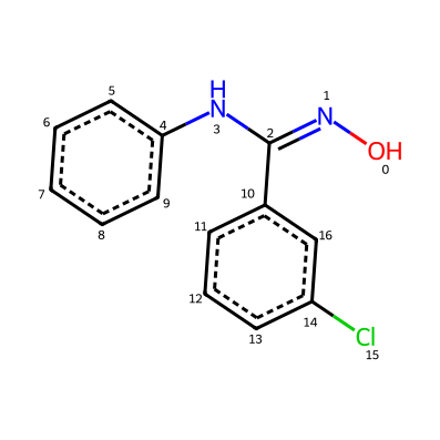 O/N=C(/Nc1ccccc1)c1cccc(Cl)c1